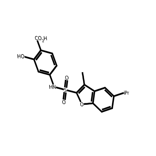 Cc1c(S(=O)(=O)Nc2ccc(C(=O)O)c(O)c2)oc2ccc(C(C)C)cc12